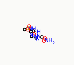 Cc1ccc2c(NS(=O)(=O)Cc3ccccc3)cccc2c1Oc1ncccc1-c1ccnc(NC2CCC(OC(N)=O)CC2)n1